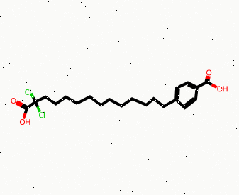 O=C(O)c1ccc(CCCCCCCCCCCCC(Cl)(Cl)C(=O)O)cc1